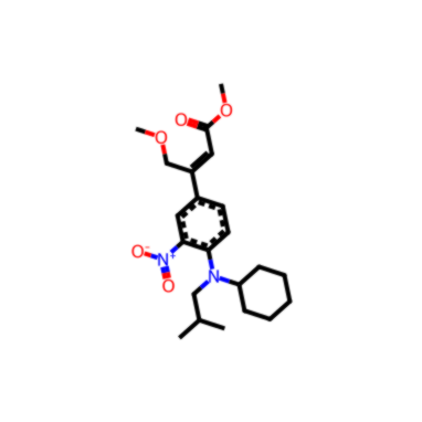 COCC(=CC(=O)OC)c1ccc(N(CC(C)C)C2CCCCC2)c([N+](=O)[O-])c1